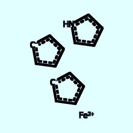 [Fe+2].c1cc[cH-]c1.c1cc[cH-]c1.c1cc[nH]c1